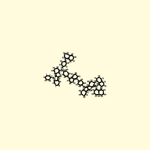 c1ccc(-n2c3ccccc3c3sc4c(N(c5ccc(-c6cccc7ccccc67)cc5)c5ccc(-c6cccc7c(-c8ccc(-n9c%10ccccc%10c%10sc%11c(N(c%12cccc%13ccccc%12%13)c%12cccc%13ccccc%12%13)cccc%11c%109)cc8)cccc67)cc5)cccc4c32)cc1